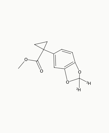 [2H]C1([2H])Oc2ccc(C3(C(=O)OC)CC3)cc2O1